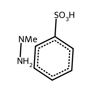 CNN.O=S(=O)(O)c1ccccc1